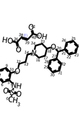 CS(=O)(=O)Nc1ccccc1OCCCN1CCC(OC(c2ccccc2)c2ccccc2)CC1.O=C(O)/C=C/C(=O)O